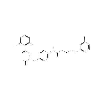 Cc1ccnc(NCCCC(=O)Nc2ccc(C[C@H](NC(=O)c3c(Cl)cccc3Cl)C(=O)O)cc2)c1